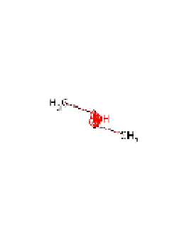 CCCCCCCCCCCCCCCCCCc1ccccc1OC(=O)CC(C(=O)Oc1ccccc1CCCCCCCCCCCCCCCCCC)S(=O)(=O)O